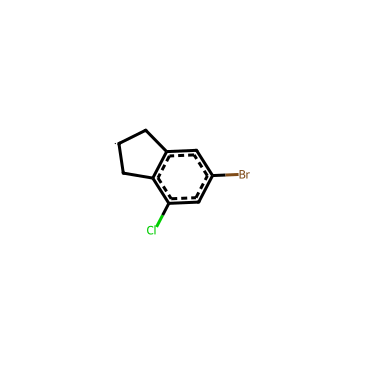 Clc1cc(Br)cc2c1C[CH]C2